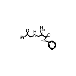 CC(C)C(=O)CNCC(C)C(=O)Nc1ccccc1